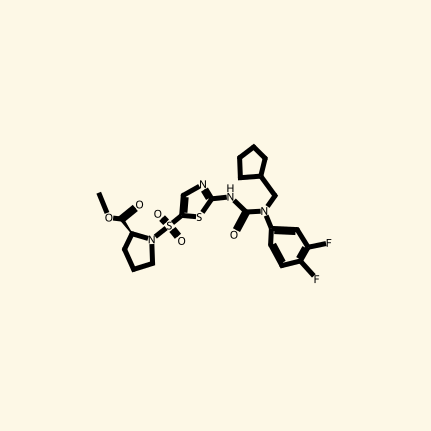 COC(=O)[C@@H]1CCCN1S(=O)(=O)c1cnc(NC(=O)N(CC2CCCC2)c2ccc(F)c(F)c2)s1